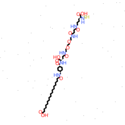 O=C(O)CCCCCCCCCCCCCCCCCCC(=O)NC[C@H]1CC[C@H](C(=O)N[C@@H](CCC(=O)NCCOCCOCCNC(=O)CCC(=O)NCCCC[C@H](NS)C(=O)O)C(=O)O)CC1